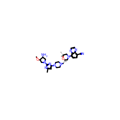 CO[C@@H]1CN(c2nc(C)cc(N3CCN(C[C@H]4CN(c5ccc(C#N)c6nccnc56)C[C@@H](C)O4)CC3)n2)C[C@@H]1N